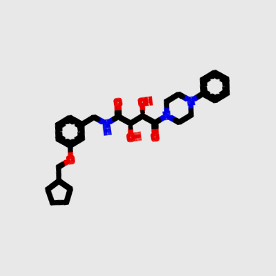 O=C(NCc1cccc(OCC2CCCC2)c1)[C@H](O)[C@@H](O)C(=O)N1CCN(c2ccccc2)CC1